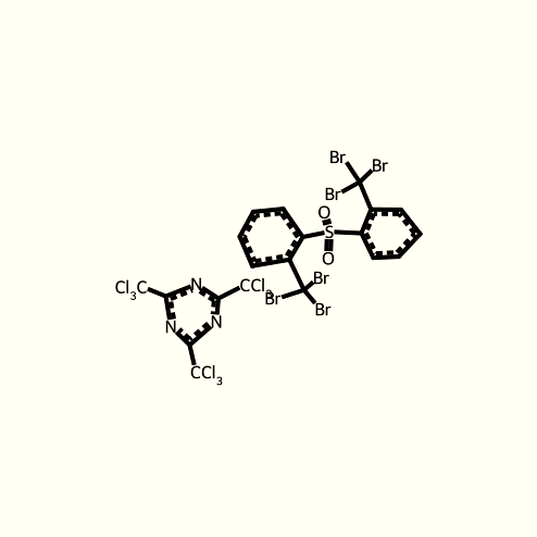 ClC(Cl)(Cl)c1nc(C(Cl)(Cl)Cl)nc(C(Cl)(Cl)Cl)n1.O=S(=O)(c1ccccc1C(Br)(Br)Br)c1ccccc1C(Br)(Br)Br